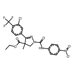 CCOC(=O)C1(C)CN(C(=O)Nc2ccc([N+](=O)[O-])cc2)N=C1c1ccc(C(F)(F)F)c(Cl)c1